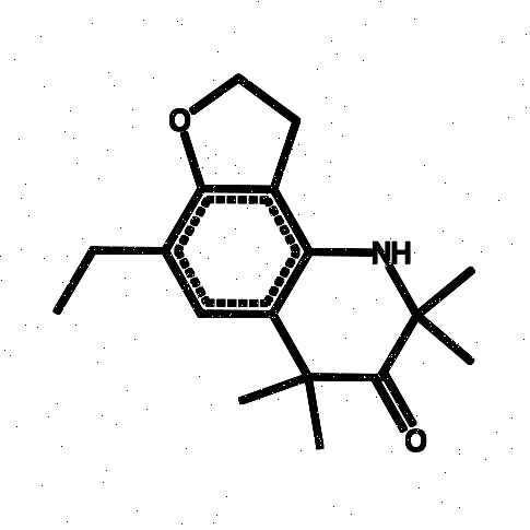 CCc1cc2c(c3c1OCC3)NC(C)(C)C(=O)C2(C)C